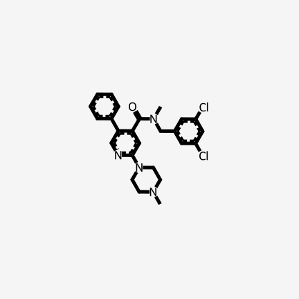 CN1CCN(c2cc(C(=O)N(C)Cc3cc(Cl)cc(Cl)c3)c(-c3ccccc3)cn2)CC1